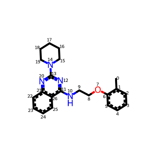 Cc1ccccc1OCCNc1nc(N2CCCCC2)nc2ccccc12